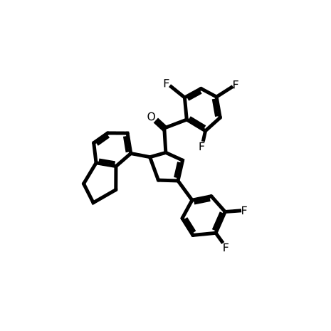 O=C(c1c(F)cc(F)cc1F)C1C=C(c2ccc(F)c(F)c2)CC1c1cccc2c1CCC2